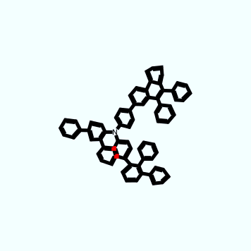 c1ccc(-c2ccc(N(c3ccc(-c4ccc5c(c4)c(-c4ccccc4)c(-c4ccccc4)c4ccccc45)cc3)c3ccc(-c4cccc(-c5ccccc5)c4-c4ccccc4)cc3)c(-c3ccccc3)c2)cc1